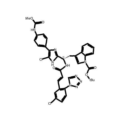 COC(=O)Nc1ccc(-c2nc([C@H](Cc3cn(C(=O)OC(C)(C)C)c4ccccc34)NC(=O)C=Cc3cc(Cl)ccc3-n3cnnn3)[nH]c2Cl)cc1